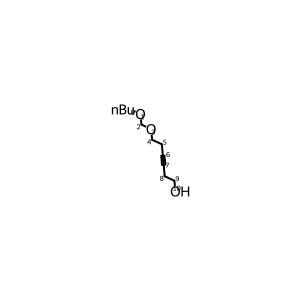 CCCCOCOCCC#CCCO